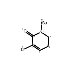 CC(C)(C)N1CCC=C(Cl)C1=O